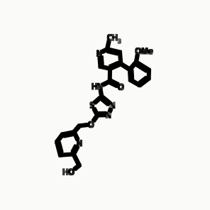 COc1ccccc1-c1cc(C)ncc1C(=O)Nc1nnc(OCc2cccc(CO)n2)s1